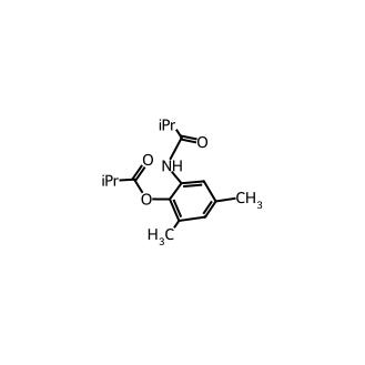 Cc1cc(C)c(OC(=O)C(C)C)c(NC(=O)C(C)C)c1